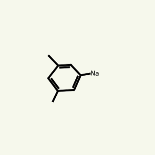 Cc1cc(C)c[c]([Na])c1